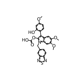 COc1ccc(-c2c(OC(=O)O)n(Cc3ccc4nsnc4c3)c3cc(OC)c(OC)cc23)c(O)c1